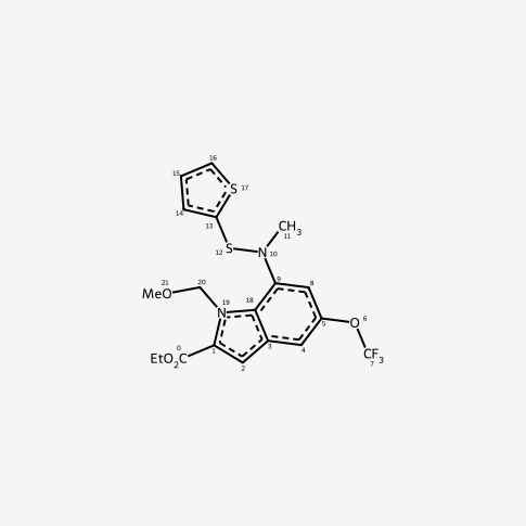 CCOC(=O)c1cc2cc(OC(F)(F)F)cc(N(C)Sc3cccs3)c2n1COC